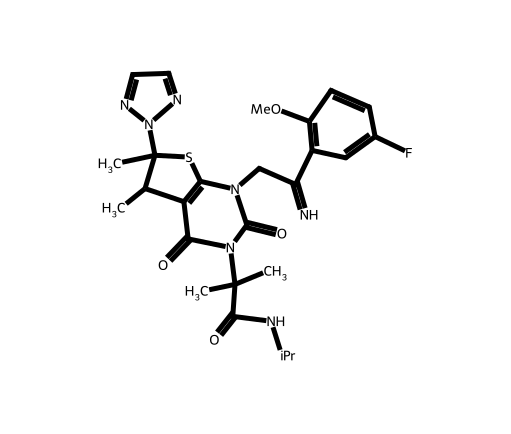 COc1ccc(F)cc1C(=N)Cn1c2c(c(=O)n(C(C)(C)C(=O)NC(C)C)c1=O)C(C)C(C)(n1nccn1)S2